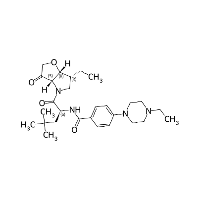 CC[C@@H]1CN(C(=O)[C@H](CC(C)(C)C)NC(=O)c2ccc(N3CCN(CC)CC3)cc2)[C@@H]2C(=O)CO[C@H]12